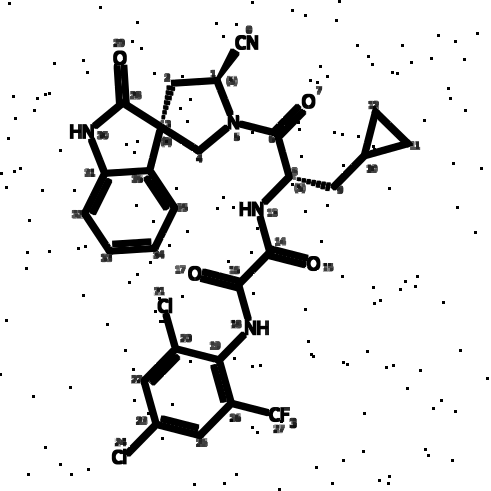 N#C[C@@H]1C[C@@]2(CN1C(=O)[C@H](CC1CC1)NC(=O)C(=O)Nc1c(Cl)cc(Cl)cc1C(F)(F)F)C(=O)Nc1ccccc12